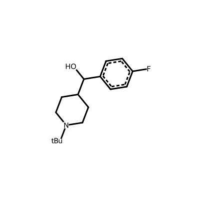 CC(C)(C)N1CCC(C(O)c2ccc(F)cc2)CC1